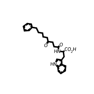 O=C(CCCCCc1ccccc1)CCC(=O)NC(Cc1c[nH]c2ccccc12)C(=O)O